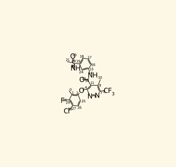 Cc1c(Oc2nnc(C(F)(F)F)c(C)c2C(=O)Nc2cccc(S(C)(=N)=O)c2)ccc(Cl)c1F